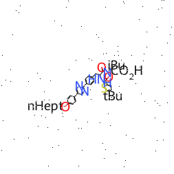 CCCCCCCOc1ccc(-c2cnc(-c3ccc(CC(NC(=O)c4ccc(C(C)(C)C)s4)C(=O)N[C@H](C(=O)O)[C@@H](C)CC)cc3)nc2)cc1